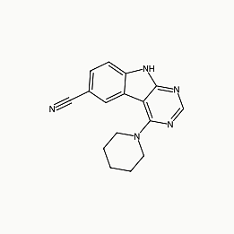 N#Cc1ccc2[nH]c3ncnc(N4CCCCC4)c3c2c1